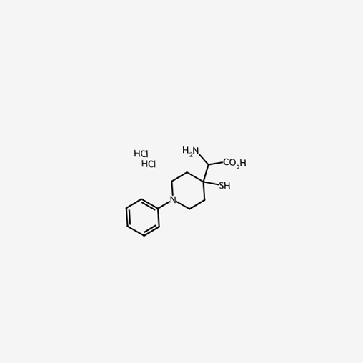 Cl.Cl.NC(C(=O)O)C1(S)CCN(c2ccccc2)CC1